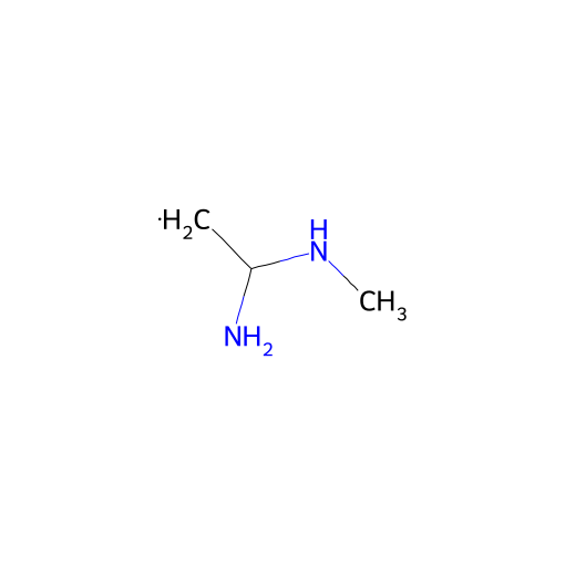 [CH2]C(N)NC